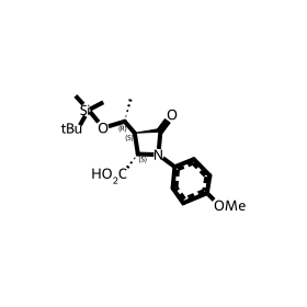 COc1ccc(N2C(=O)[C@H]([C@@H](C)O[Si](C)(C)C(C)(C)C)[C@H]2C(=O)O)cc1